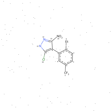 CCc1ccc(C(F)(F)F)cc1C1=C(Cl)[N]N=C1[N+](=O)[O-]